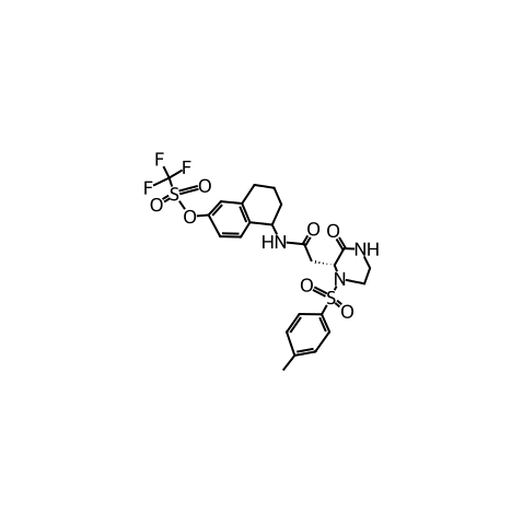 Cc1ccc(S(=O)(=O)N2CCNC(=O)[C@H]2CC(=O)NC2CCCc3cc(OS(=O)(=O)C(F)(F)F)ccc32)cc1